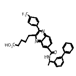 CC(NC(=O)c1ccc2nc(-c3ccc(C(F)(F)F)cc3)c(CCCCC(=O)O)nc2c1)c1cccc(-c2ccccc2)c1